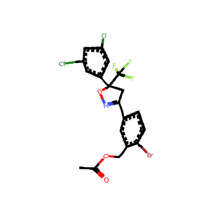 CC(=O)OCc1cc(C2=NOC(c3cc(Cl)cc(Cl)c3)(C(F)(F)F)C2)ccc1Br